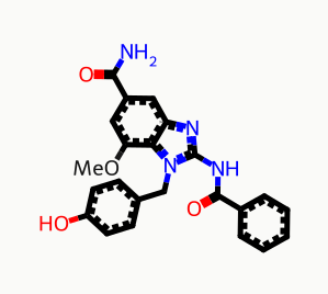 COc1cc(C(N)=O)cc2nc(NC(=O)c3ccccc3)n(Cc3ccc(O)cc3)c12